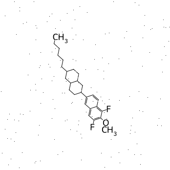 CCCCCCC1CCC2CC(c3ccc4c(F)c(OC)c(F)cc4c3)CCC2C1